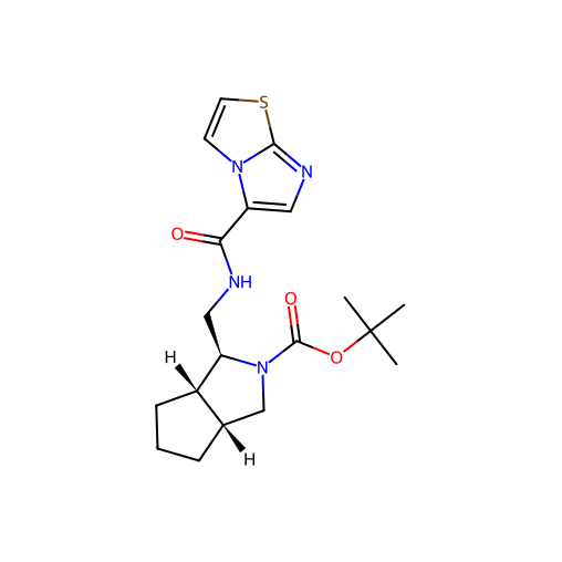 CC(C)(C)OC(=O)N1C[C@@H]2CCC[C@@H]2[C@H]1CNC(=O)c1cnc2sccn12